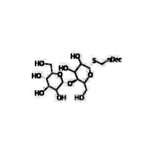 CCCCCCCCCCCS[C@@H]1OC(CO)[C@@H](O[C@H]2OC(CO)[C@@H](O)C(O)C2O)C(O)C1O